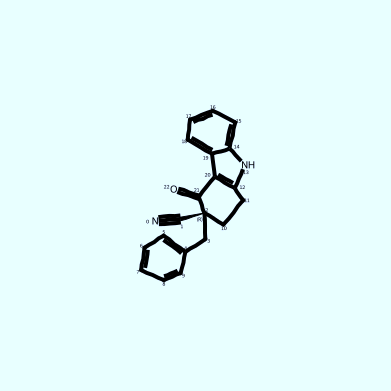 N#C[C@]1(Cc2ccccc2)CCc2[nH]c3ccccc3c2C1=O